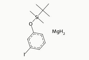 CC(C)(C)[Si](C)(C)Oc1cccc(I)c1.[MgH2]